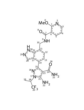 COc1ncccc1C(=O)NCc1ccc(-c2nn(C(C)C(F)(F)F)c(N)c2C(N)=O)c2cn[nH]c12